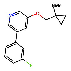 CNC1(COc2cncc(-c3cccc(F)c3)c2)CC1